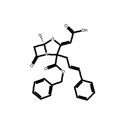 O=C(O)C=C1O[C@@H]2CC(=O)N2C1(C/C=C/c1ccccc1)C(=O)OCc1ccccc1